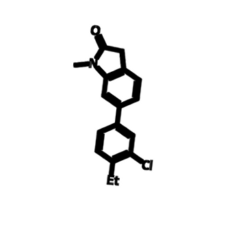 CCc1ccc(-c2ccc3c(c2)N(C)C(=O)C3)cc1Cl